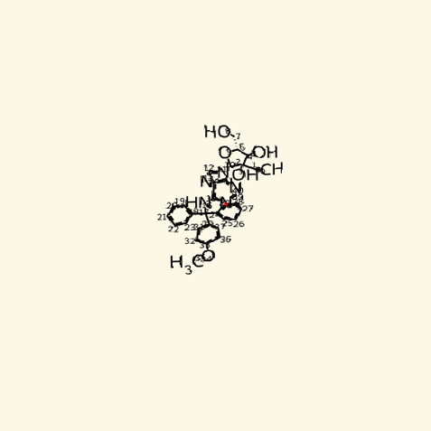 C#C[C@@]1(O)[C@H](O)[C@@H](CO)O[C@H]1n1cnc2c(NC(c3ccccc3)(c3ccccc3)c3ccc(OC)cc3)ncnc21